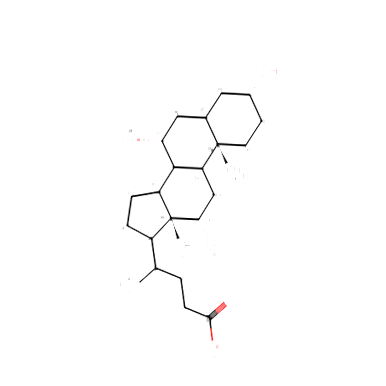 CC(CCC(=O)O)C1CCC2C3C(C[C@H](O)[C@]12C)[C@@]1(C)CC[C@@H](O)CC1C[C@H]3O